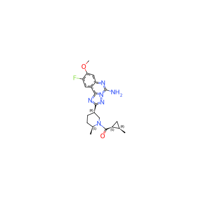 COc1cc2nc(N)n3nc([C@@H]4CC[C@H](C)N(C(=O)[C@H]5C[C@H]5C)C4)nc3c2cc1F